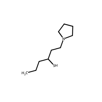 CCCC(S)CCN1CCCC1